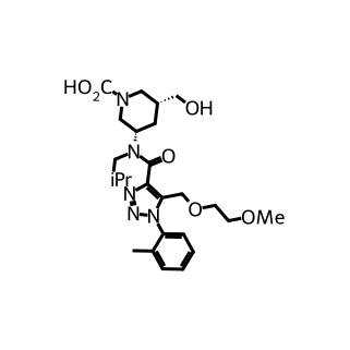 COCCOCc1c(C(=O)N(CC(C)C)[C@H]2C[C@@H](CO)CN(C(=O)O)C2)nnn1-c1ccccc1C